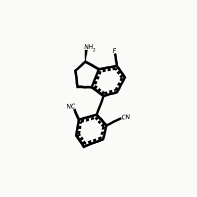 N#Cc1cccc(C#N)c1-c1ccc(F)c2c1CC[C@H]2N